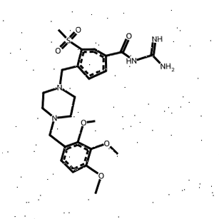 COc1ccc(CN2CCN(Cc3ccc(C(=O)NC(=N)N)cc3S(C)(=O)=O)CC2)c(OC)c1OC